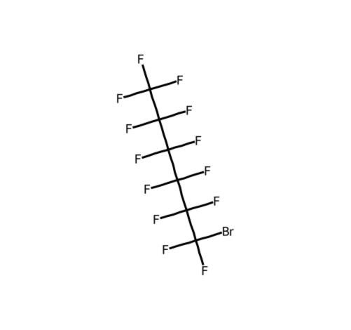 FC(F)(F)C(F)(F)C(F)(F)C(F)(F)C(F)(F)C(F)(F)Br